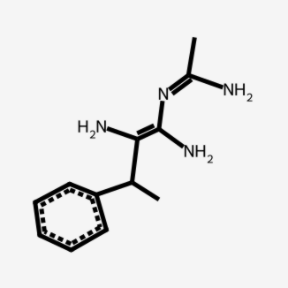 C/C(N)=N/C(N)=C(\N)C(C)c1ccccc1